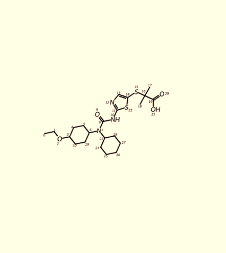 CCOC1CCC(N(C(=O)Nc2ncc(SC(C)(C)C(=O)O)s2)C2CCCCC2)CC1